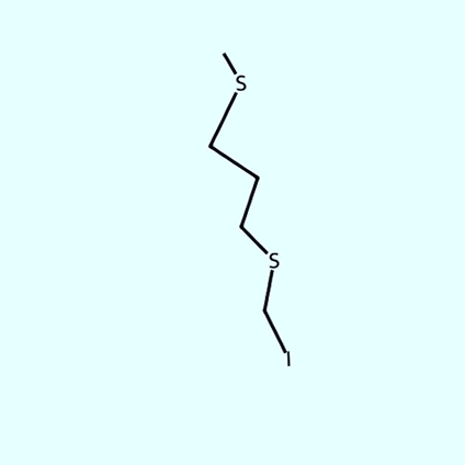 CSCCCSCI